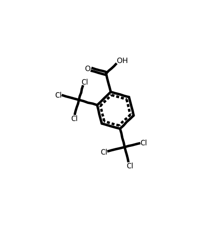 O=C(O)c1ccc(C(Cl)(Cl)Cl)cc1C(Cl)(Cl)Cl